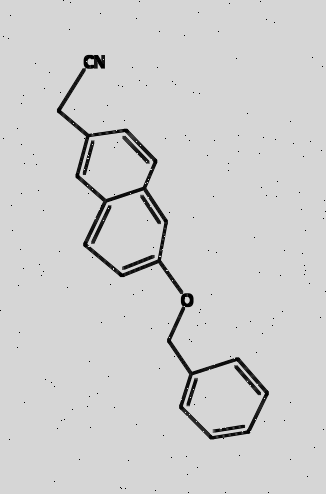 N#CCc1ccc2cc(OCc3ccccc3)ccc2c1